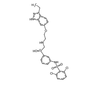 CCc1n[nH]c2cc(OCCNC[C@H](O)c3cccc(NS(=O)(=O)c4c(Cl)cccc4Cl)c3)ccc12